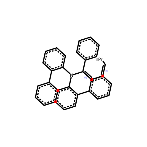 CCC/C=C\C=C(/c1ccccc1)N(c1ccccc1-c1ccccc1)c1ccccc1-c1ccccc1